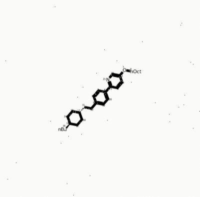 CCCCCCCCOc1ccc(-c2ccc(CC[C@H]3CC[C@H](CCCC)CC3)cc2)nc1